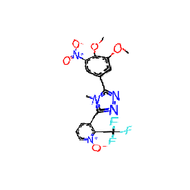 COc1cc(-c2nnc(-c3ccc[n+]([O-])c3C(F)(F)F)n2C)cc([N+](=O)[O-])c1OC